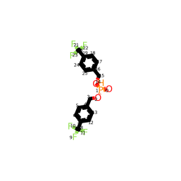 O=[PH](OCc1ccc(C(F)(F)F)cc1)OCc1ccc(C(F)(F)F)cc1